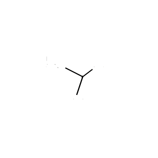 CC(=O)NC(C(=O)[O-])C(=O)[O-].[Ba+2]